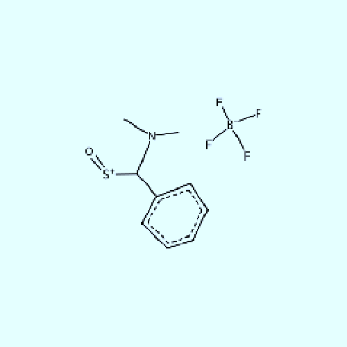 CN(C)C([S+]=O)c1ccccc1.F[B-](F)(F)F